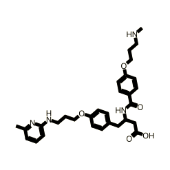 CNCCCOc1ccc(C(=O)NC(CC(=O)O)Cc2ccc(OCCCNc3cccc(C)n3)cc2)cc1